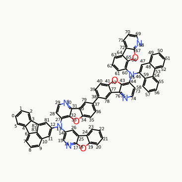 c1ccc2c(c1)-c1cccc3cc(N(c4cnc5oc6ccccc6c5c4)c4ccnc5c4oc4ccc(-c6ccc7oc8c(N(c9cc%10ccccc%10c%10ccccc9%10)c9cccc%10c9oc9ncccc9%10)ccnc8c7c6)cc45)cc-2c13